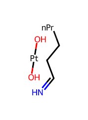 CCCCCC=N.[OH][Pt][OH]